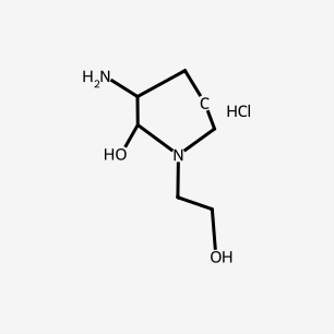 Cl.NC1CCCN(CCO)C1O